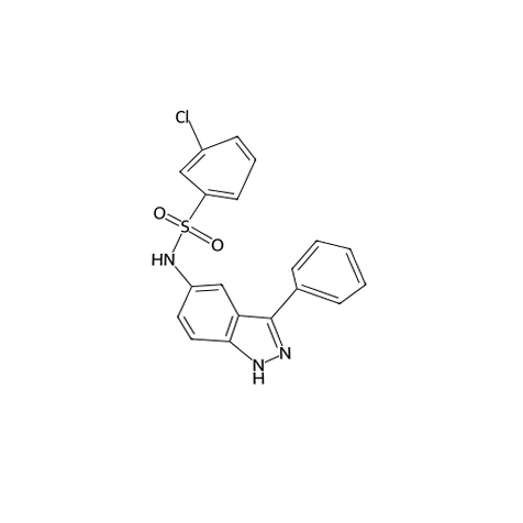 O=S(=O)(Nc1ccc2[nH]nc(-c3ccccc3)c2c1)c1cccc(Cl)c1